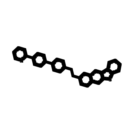 c1ccc(-c2ccc(-c3ccc(CCc4ccc5cc6sc7ccccc7c6cc5c4)cc3)cc2)nc1